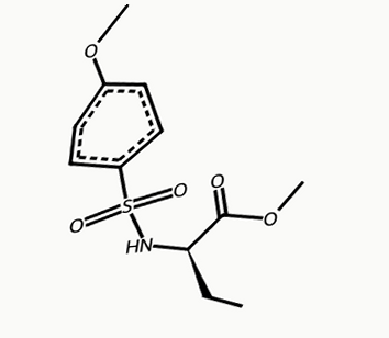 CC[C@@H](NS(=O)(=O)c1ccc(OC)cc1)C(=O)OC